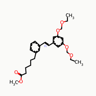 CCOCOc1cc(/C=C/c2cccc(CCCCCC(=O)OC)c2)cc(OCOCC)c1